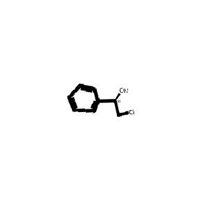 O[C@@H](CCl)c1ccccc1